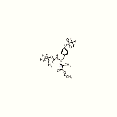 CCOC(=O)/C(C)=C/[C@@H](Cc1ccc(OS(=O)(=O)C(F)(F)F)cc1)NC(=O)OC(C)(C)C